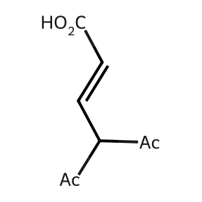 CC(=O)C(C=CC(=O)O)C(C)=O